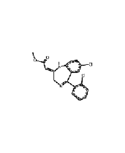 COC(=O)/C=C1/CN=C(c2ccccc2Cl)c2cc(Cl)ccc2N1